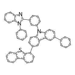 c1ccc(-c2ccc3c(c2)c2cc(-c4cccc5c4sc4ccccc45)ccc2n3-c2cccc(-c3nc4ccccc4n3-c3ccccc3)c2)cc1